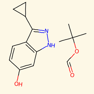 CC(C)(C)OC=O.Oc1ccc2c(C3CC3)n[nH]c2c1